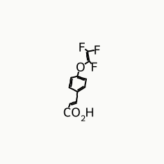 O=C(O)C=Cc1ccc(OC(F)=C(F)F)cc1